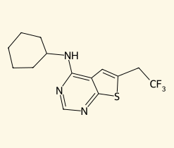 FC(F)(F)Cc1cc2c(NC3CCCCC3)ncnc2s1